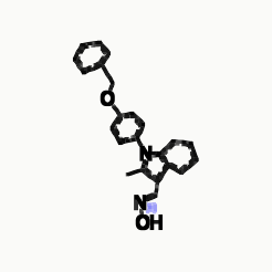 Cc1c(/C=N/O)c2ccccc2n1-c1ccc(OCc2ccccc2)cc1